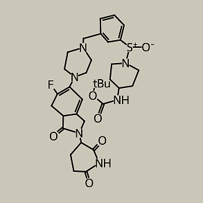 CC(C)(C)OC(=O)NC1CCN([S+]([O-])c2cccc(CN3CCN(C4=C(F)CC5C(=O)N(C6CCC(=O)NC6=O)CC5=C4)CC3)c2)CC1